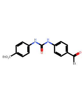 CCOC(=O)c1ccc(NC(=O)Nc2ccc(C(=O)CC)cc2)cc1